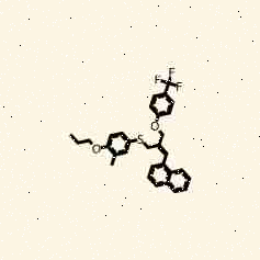 CCCOc1ccc(SCC(=Cc2cccc3ccccc23)COc2ccc(C(F)(F)F)cc2)cc1C